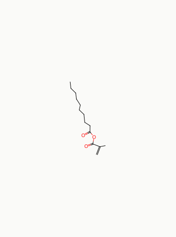 C=C(C)C(=O)OC(=O)CCCCCCCCC